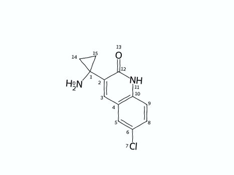 NC1(c2cc3cc(Cl)ccc3[nH]c2=O)CC1